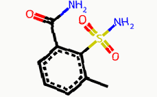 Cc1cccc(C(N)=O)c1S(N)(=O)=O